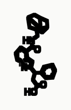 O=C(O)CC(c1ccccc1)c1cc2c(C(=O)NCC34CC5CC(CC(C5)C3)C4)cccn2n1